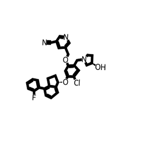 N#Cc1cncc(COc2cc(O[C@H]3CCc4c(-c5ccccc5F)cccc43)c(Cl)cc2CN2CC[C@@H](O)C2)c1